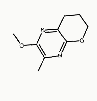 COc1nc2c(nc1C)OCCC2